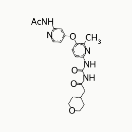 CC(=O)Nc1cc(Oc2ccc(NC(=O)NC(=O)CC3CCOCC3)nc2C)ccn1